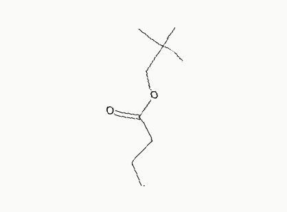 [CH2]CCC(=O)OCC(C)(C)C